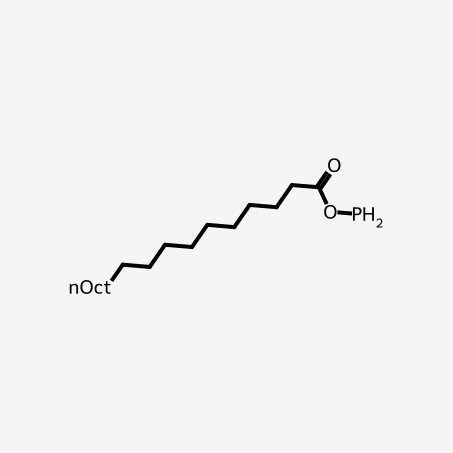 CCCCCCCCCCCCCCCCCC(=O)OP